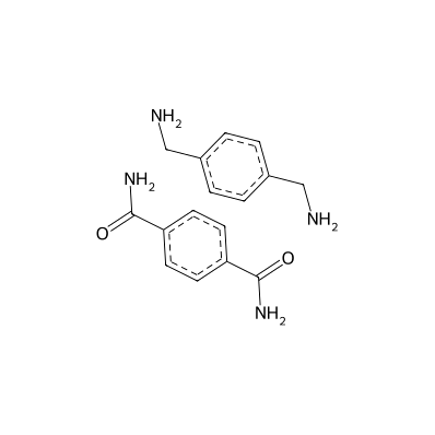 NC(=O)c1ccc(C(N)=O)cc1.NCc1ccc(CN)cc1